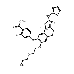 COC(=O)c1ccc(Oc2cc3c(cc2OCCOCCN)CCN[C@]3(C)CC(=O)Nc2nccs2)cc1F